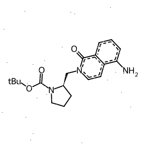 CC(C)(C)OC(=O)N1CCC[C@@H]1Cn1ccc2c(N)cccc2c1=O